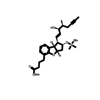 CC#CC[C@H](C)[C@H](O)/C=C/[C@@H]1[C@H]2c3cccc(CCCC(=O)OC)c3O[C@H]2C[C@H]1O[Si](C)(C)C(C)(C)C